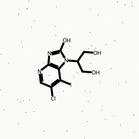 OCC(CO)n1c(O)nc2ncc(Cl)c(I)c21